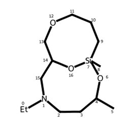 CCN1CCC(C)O[Si]2(C)CCCOCC(C1)O2